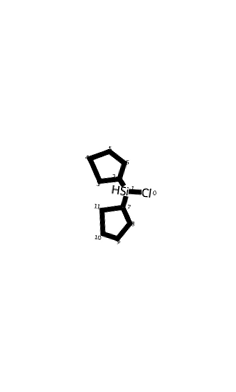 Cl[SiH](C1CCCC1)C1CCCC1